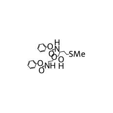 CSCCC(NC(=O)Oc1ccccc1)C(O)OCCNC(=O)Oc1ccccc1